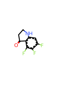 O=C1CCNc2cc(F)c(F)c(F)c21